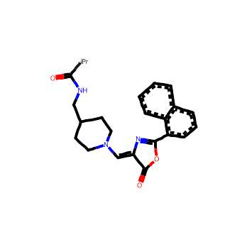 CC(C)C(=O)NCC1CCN(C=C2N=C(c3cccc4ccccc34)OC2=O)CC1